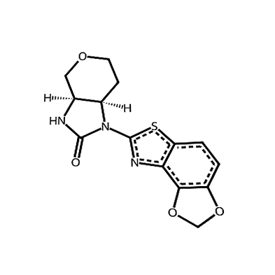 O=C1N[C@H]2COCC[C@H]2N1c1nc2c3c(ccc2s1)OCO3